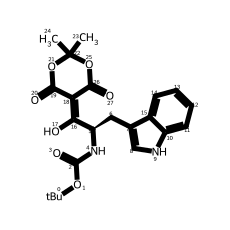 CC(C)(C)OC(=O)N[C@H](Cc1c[nH]c2ccccc12)C(O)=C1C(=O)OC(C)(C)OC1=O